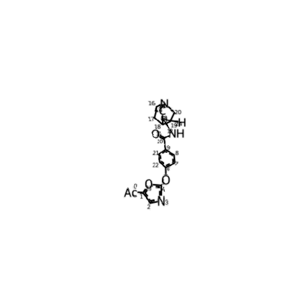 CC(=O)c1cnc(Oc2ccc(C(=O)N[C@H]3CN4CCC3CC4)cc2)o1